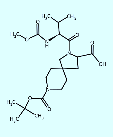 COC(=O)N[C@H](C(=O)N1CC2(CCN(C(=O)OC(C)(C)C)CC2)CC1C(=O)O)C(C)C